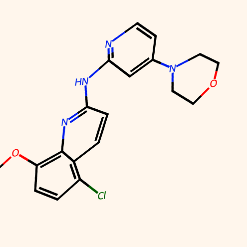 COc1ccc(Cl)c2ccc(Nc3cc(N4CCOCC4)ccn3)nc12